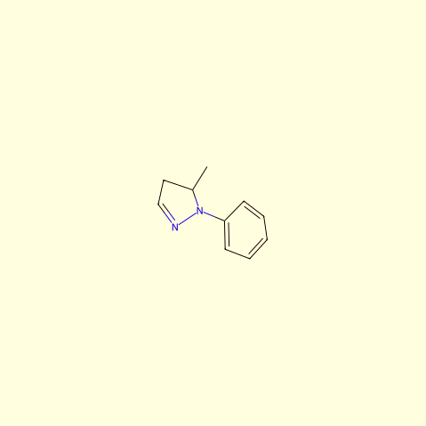 CC1CC=NN1c1ccccc1